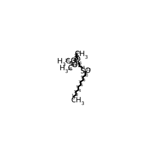 CCCCCCCCCCCC(=O)SCCC[Si](OCC)(OCC)OCC